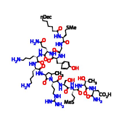 CCCCCCCCCCCCCCCC(=O)N[C@@H](CCSC)C(=O)NCC(=O)N[C@@H](Cc1ccc(O)cc1)C(=O)N[C@@H](CCC(N)=O)C(=O)N[C@@H](CCCCN)C(=O)N[C@@H](CCCCN)C(=O)N[C@H]1CC(C)N([C@@H](CCCNC(=N)N)C(=O)N[C@@H](CO)C(=O)N[C@@H](CCSC)C(=O)N[C@H](C(=O)N[C@@H](CC(=O)O)C(N)=O)[C@@H](C)O)C1=O